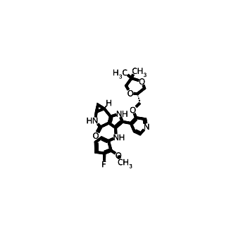 COc1c(F)cccc1Nc1c(-c2ccncc2OC[C@H]2COC(C)(C)CO2)[nH]c2c1C(=O)NC1C[C@@H]21